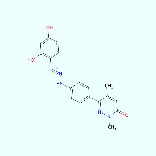 Cc1cc(=O)n(C)nc1-c1ccc(N/N=C/c2ccc(O)cc2O)cc1